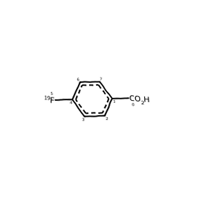 O=C(O)c1ccc([19F])cc1